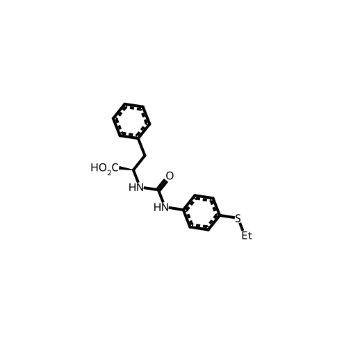 CCSc1ccc(NC(=O)N[C@H](Cc2ccccc2)C(=O)O)cc1